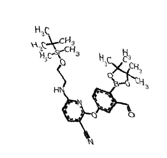 CC1(C)OB(c2ccc(Oc3nc(NCCO[Si](C)(C)C(C)(C)C)ccc3C#N)cc2C=O)OC1(C)C